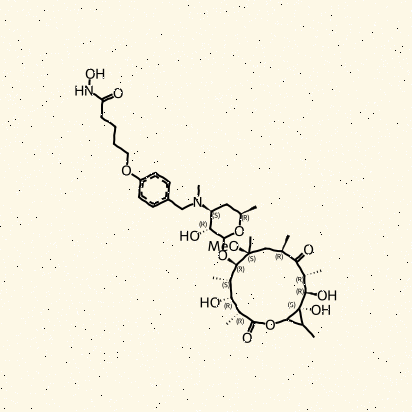 CO[C@@]1(C)C[C@@H](C)C(=O)[C@H](C)[C@@H](O)[C@@]2(O)C(C)C2OC(=O)[C@H](C)[C@H](O)[C@H](C)[C@H]1OC1O[C@H](C)C[C@H](N(C)Cc2ccc(OCCCCC(=O)NO)cc2)[C@H]1O